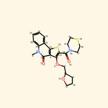 Cn1c(=O)c2c(OCC3CCCO3)c(C(=O)N3CCSCC3)sc2c2ccccc21